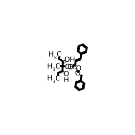 CC[C@@H](O)C(C)(C)[C@@H](O)CC.O=C(C=Cc1ccccc1)OOCc1ccccc1